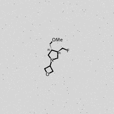 COC[C@H]1CN(C2COC2)C[C@@H]1CF